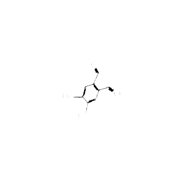 O=Cc1cc(O)c(O)cc1C=O